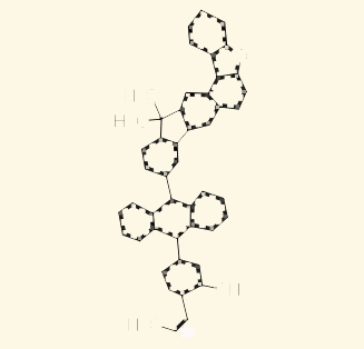 C/C=C\c1ccc(-c2c3ccccc3c(-c3ccc4c(c3)-c3cc5ccc6oc7ccccc7c6c5cc3C4(C)C)c3ccccc23)cc1C